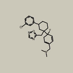 CN(C)CC1=CCC(F)(C2(Cc3ncno3)CCCC(c3cccc(Cl)c3)C2)C=C1